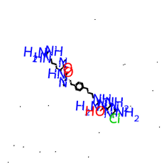 CN(C)C(=O)[C@H](CCCCNC(=N)N)NC(=O)[C@H](CCc1ccc(CCCCN/C(N)=N/C(O)=C2/N=C(Cl)C(N)=NC2N)cc1)N(C)C